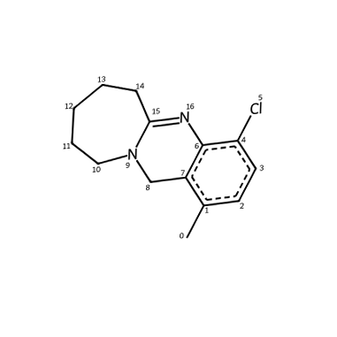 Cc1ccc(Cl)c2c1CN1CCCCCC1=N2